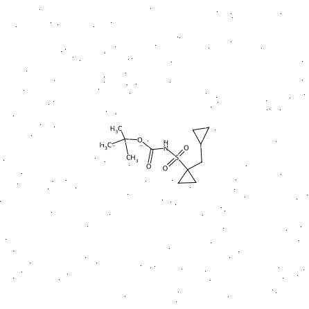 CC(C)(C)OC(=O)NS(=O)(=O)C1(CC2CC2)CC1